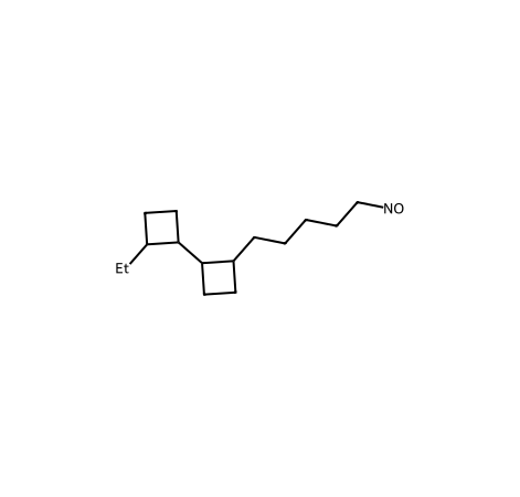 CCC1CCC1C1CCC1CCCCCN=O